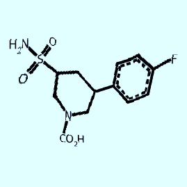 NS(=O)(=O)C1CC(c2ccc(F)cc2)CN(C(=O)O)C1